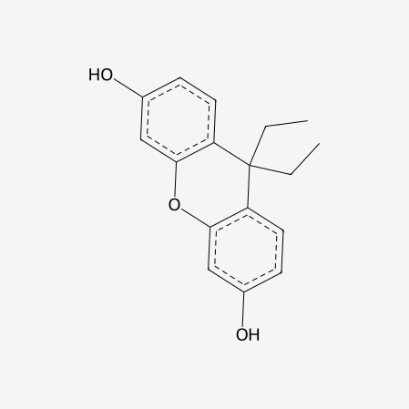 CCC1(CC)c2ccc(O)cc2Oc2cc(O)ccc21